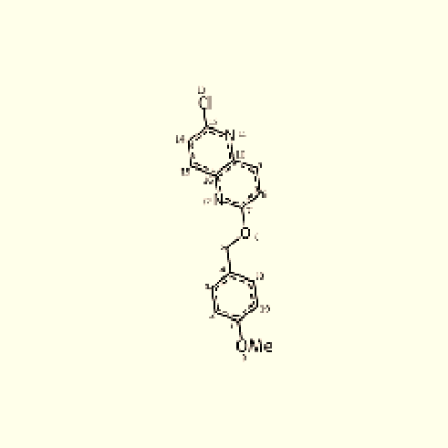 COc1ccc(COc2ccc3nc(Cl)ccc3n2)cc1